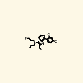 CCCN(CCCF)c1c(CC)nc2c(-c3ccc(Cl)cc3Cl)nccn12